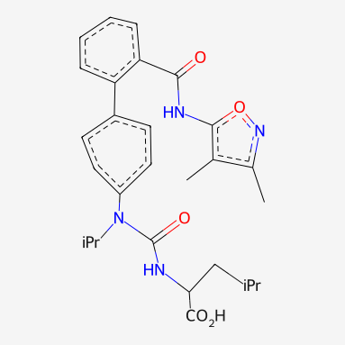 Cc1noc(NC(=O)c2ccccc2-c2ccc(N(C(=O)NC(CC(C)C)C(=O)O)C(C)C)cc2)c1C